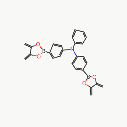 C=C1OB(c2ccc(N(c3ccccc3)c3ccc(B4OC(=C)C(=C)O4)cc3)cc2)OC1=C